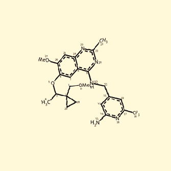 COCC1(C(C)Oc2cc3c(NCc4cc(N)nc(C(F)(F)F)c4)nc(C)nc3cc2OC)CC1